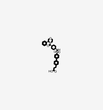 O=C(O)CCc1ccc(-c2ccc(S(=O)(=O)N[C@H]3CC[C@H](C(=O)N4CCOC[C@@H]4c4ccccc4)CC3)cc2)cc1